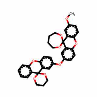 COc1ccc2c(c1)C1(OCCCCO1)c1cc(Oc3ccc4c(c3)C3(OCCCO3)c3ccccc3O4)ccc1O2